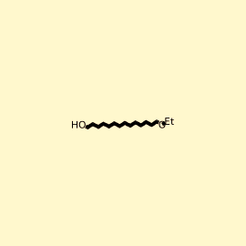 CCOCCCCCCCCCCCCCCO